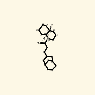 O=C(CCC1CC2CCCC(C2)C1)N1CCC[C@H]2CCCC[C@@H]21